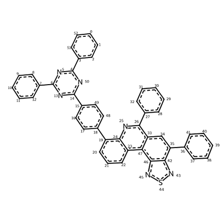 c1ccc(-c2nc(-c3ccccc3)nc(-c3ccc(-c4cccc5c4nc(-c4ccccc4)c4cc(-c6ccccc6)c6nsnc6c45)cc3)n2)cc1